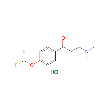 CN(C)CCC(=O)c1ccc(OC(F)F)cc1.Cl